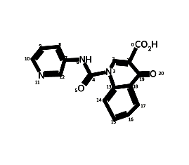 O=C(O)c1cn(C(=O)Nc2cccnc2)c2ccccc2c1=O